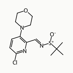 CC(C)(C)[S+]([O-])/N=C/c1nc(Cl)ccc1N1CCOCC1